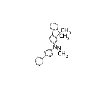 C=NN(c1ccc(-c2ccccc2)cc1)c1ccc2c(c1)C(C)(C)c1ccccc1-2